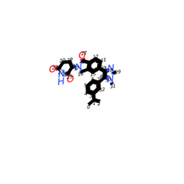 CC(C)c1cccc(-c2c(-c3ccc4c(c3)CN(C3CCC(=O)NC3=O)C4=O)ncn2C)c1